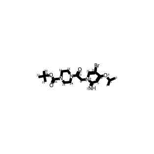 CC(C)Oc1cc(=N)n(CC(=O)N2CCN(C(=O)OC(C)(C)C)CC2)cc1Br